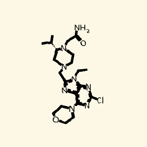 CCn1c(CN2CCN(CC(N)=O)[C@@H](C(C)C)C2)nc2c(N3CCOCC3)nc(Cl)nc21